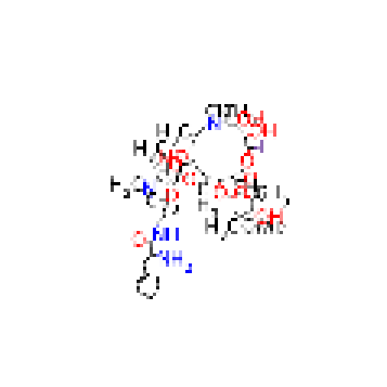 CO[C@]1(C)C[C@H](O[C@H]2[C@H](C)[C@@H](O[C@@H]3O[C@H](C)C[C@H](N(C)C)[C@H]3OCCCNC(=O)[C@@H](N)Cc3ccccc3)[C@](C)(O)C[C@@H](C)CN(C)[C@H](C)[C@@H](O)/C(O)=C(/I)OC(=O)[C@@H]2C)O[C@@H](C)[C@@H]1O